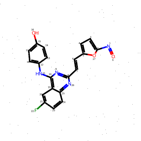 O=Nc1ccc(/C=C/c2nc(Nc3ccc(O)cc3)c3cc(F)ccc3n2)o1